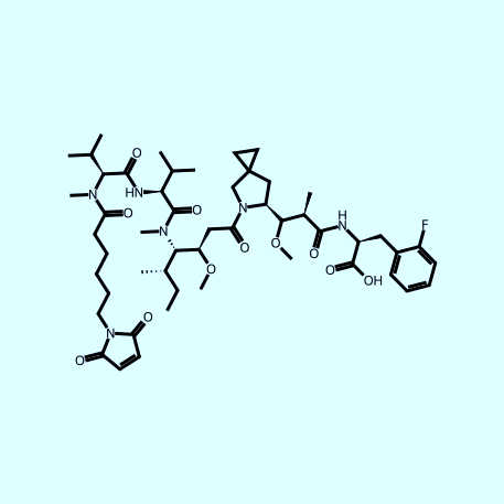 CC[C@H](C)[C@@H]([C@@H](CC(=O)N1CC2(CC2)C[C@H]1C(OC)[C@@H](C)C(=O)N[C@@H](Cc1ccccc1F)C(=O)O)OC)N(C)C(=O)[C@@H](NC(=O)[C@H](C(C)C)N(C)C(=O)CCCCCN1C(=O)C=CC1=O)C(C)C